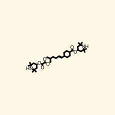 CC1(C)CC(OC(=O)C2CCC(/C=C/CCC3COC(C(=O)OC4CC(C)(C)NC(C)(C)C4)OC3)CC2)CC(C)(C)N1